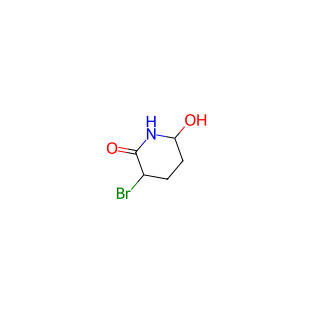 O=C1NC(O)CCC1Br